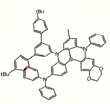 Cc1cc2c3c(c1)N(c1ccccc1)c1cc4c(cc1B3c1ccc(N(c3ccccc3)c3ccccc3)cc1N2c1cc(-c2ccc(C(C)(C)C)cc2)cc(-c2ccc(C(C)(C)C)cc2)c1)OCCO4